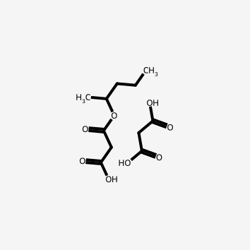 CCCC(C)OC(=O)CC(=O)O.O=C(O)CC(=O)O